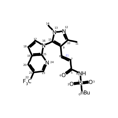 CCCCS(=O)(=O)NC(=O)/C=C/c1c(C)nn(C)c1-n1ccc2cc(C(F)(F)F)cnc21